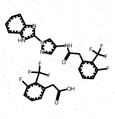 O=C(Cc1cccc(F)c1C(F)(F)F)Nc1cnn(-c2nc3ccccc3[nH]2)c1.O=C(O)Cc1cccc(F)c1C(F)(F)F